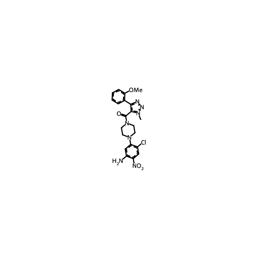 COc1ccccc1-c1nnn(C)c1C(=O)N1CCN(c2cc(N)c([N+](=O)[O-])cc2Cl)CC1